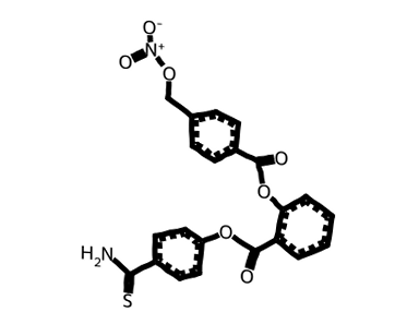 NC(=S)c1ccc(OC(=O)c2ccccc2OC(=O)c2ccc(CO[N+](=O)[O-])cc2)cc1